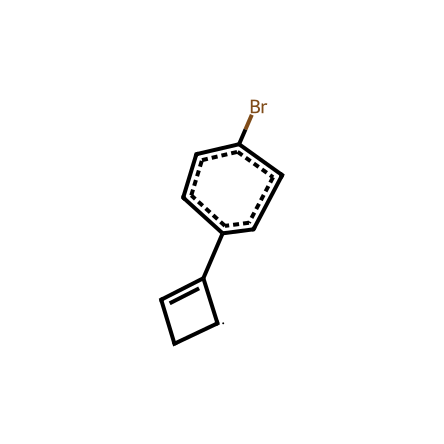 Brc1ccc(C2=CC[CH]2)cc1